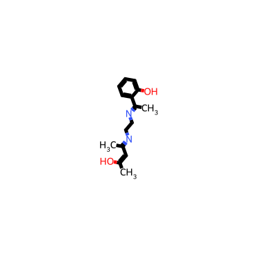 C/C(O)=C/C(C)=N/CC/N=C(\C)c1ccccc1O